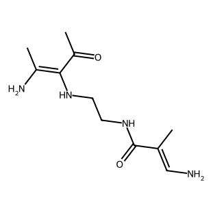 CC(=O)/C(NCCNC(=O)/C(C)=C/N)=C(\C)N